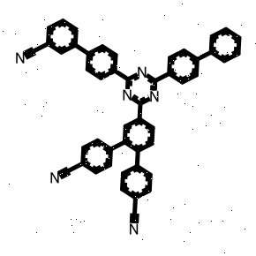 N#Cc1ccc(-c2ccc(-c3nc(-c4ccc(-c5ccccc5)cc4)nc(-c4ccc(-c5cccc(C#N)c5)cc4)n3)cc2-c2ccc(C#N)cc2)cc1